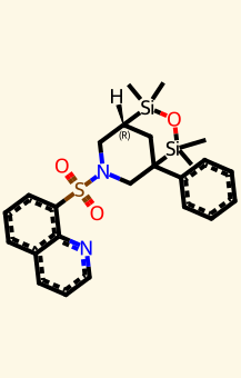 C[Si]1(C)O[Si](C)(C)C2(c3ccccc3)C[C@@H]1CN(S(=O)(=O)c1cccc3cccnc13)C2